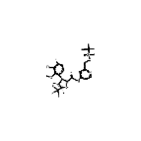 COc1c(C2C(C(=O)Nc3ccnc(CO[Si](C)(C)C(C)(C)C)c3)O[C@@](C)(C(F)(F)F)[C@H]2C)ccc(F)c1F